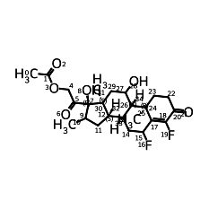 CC(=O)OCC(=O)[C@@]1(O)C(C)C[C@H]2[C@@H]3CC(F)C4=C(F)C(=O)CC[C@]4(C)[C@H]3C(O)C[C@@]21C